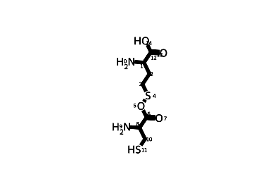 NC(CCSOC(=O)C(N)CS)C(=O)O